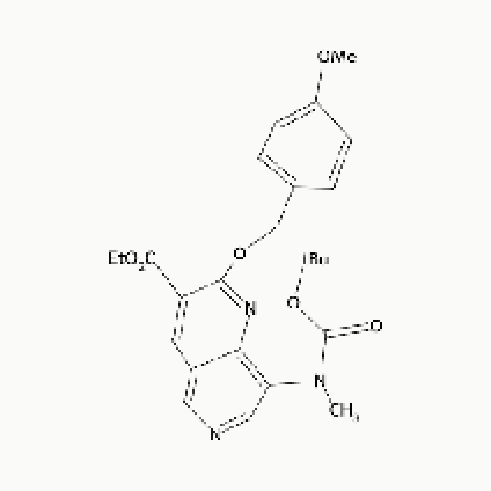 CCOC(=O)c1cc2cncc(N(C)C(=O)OC(C)(C)C)c2nc1OCc1ccc(OC)cc1